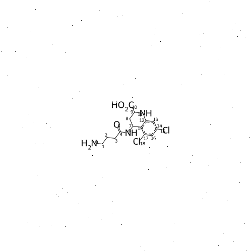 NCCCC(=O)NC1CC(C(=O)O)Nc2cc(Cl)cc(Cl)c21